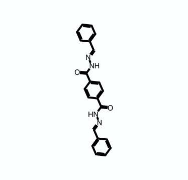 O=C(N/N=C/c1ccccc1)c1ccc(C(=O)N/N=C/c2ccccc2)cc1